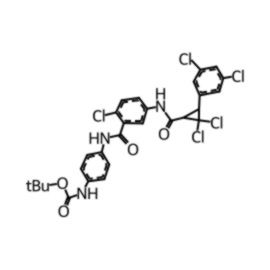 CC(C)(C)OC(=O)Nc1ccc(NC(=O)c2cc(NC(=O)C3C(c4cc(Cl)cc(Cl)c4)C3(Cl)Cl)ccc2Cl)cc1